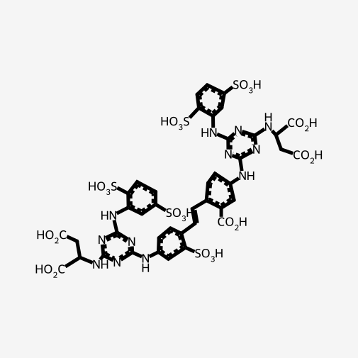 O=C(O)CC(Nc1nc(Nc2ccc(/C=C/c3ccc(Nc4nc(Nc5cc(S(=O)(=O)O)ccc5S(=O)(=O)O)nc(NC(CC(=O)O)C(=O)O)n4)cc3S(=O)(=O)O)c(C(=O)O)c2)nc(Nc2cc(S(=O)(=O)O)ccc2S(=O)(=O)O)n1)C(=O)O